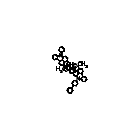 CC(C)c1ccc(-c2ccccc2N(c2ccc(-c3ccccc3)cc2)c2ccc3cc4c(cc3c2)oc2cc3cc(N(c5ccccc5)c5ccccc5-c5ccc(C(C)(C)C)cc5)ccc3cc24)cc1